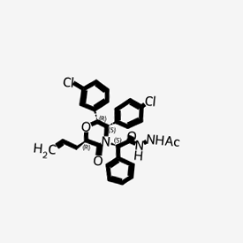 C=CC[C@H]1O[C@H](c2cccc(Cl)c2)[C@H](c2ccc(Cl)cc2)N([C@H](C(=O)NNC(C)=O)c2ccccc2)C1=O